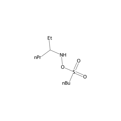 CCCCS(=O)(=O)ONC(CC)CCC